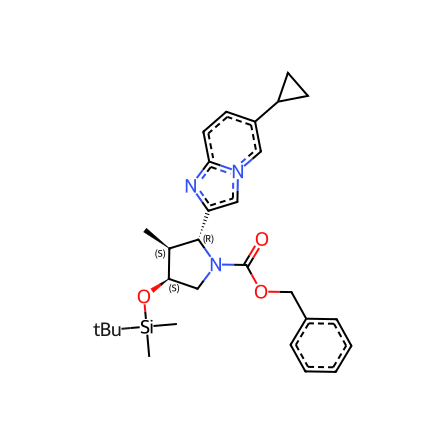 C[C@@H]1[C@H](O[Si](C)(C)C(C)(C)C)CN(C(=O)OCc2ccccc2)[C@H]1c1cn2cc(C3CC3)ccc2n1